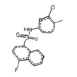 Cc1ccc(NS(=O)(=O)c2ccc(F)c3ccccc23)cc1Cl